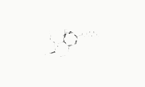 CCOC(=O)CN1C(=O)COc2cc(OC)ccc21